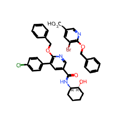 O=C(N[C@@H]1CCCC[C@H]1O)c1cnc(OCc2ccccc2)c(-c2ccc(Cl)cc2)c1.O=C(O)c1cnc(OCc2ccccc2)c(Br)c1